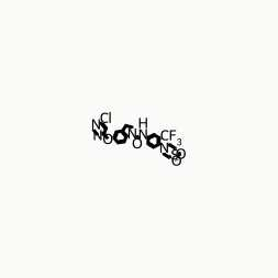 O=C(Nc1ccc(N2CCS(=O)(=O)CC2)c(C(F)(F)F)c1)N1CCc2cc(Oc3cc(Cl)ncn3)ccc21